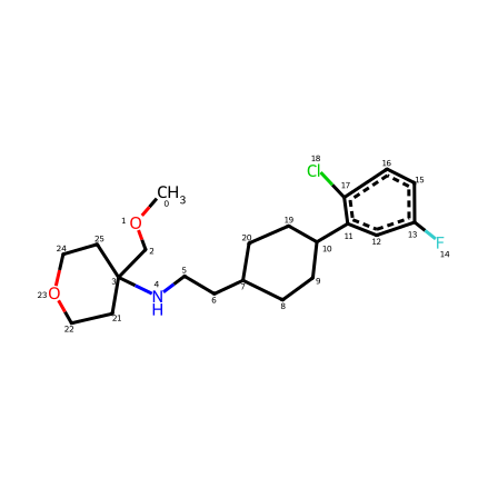 COCC1(NCCC2CCC(c3cc(F)ccc3Cl)CC2)CCOCC1